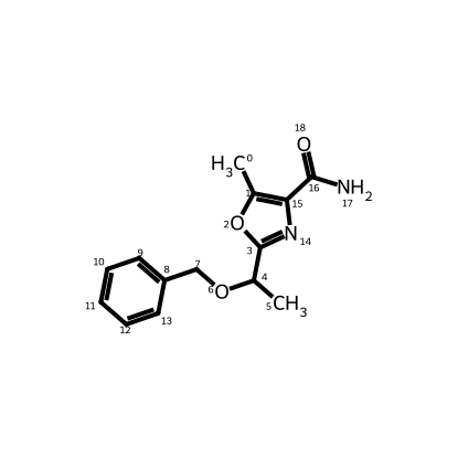 Cc1oc(C(C)OCc2ccccc2)nc1C(N)=O